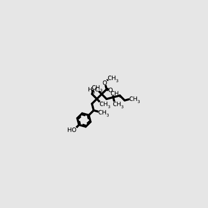 CCCC(C)(C)CC(C)(C(=O)OC)C(C)(CC)CC(C)c1ccc(O)cc1